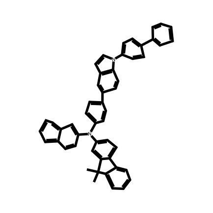 CC1(C)c2ccccc2-c2ccc(N(c3ccc(-c4ccc5c(ccn5-c5ccc(-c6ccccc6)cc5)c4)cc3)c3ccc4ccccc4c3)cc21